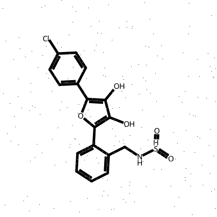 O=[SH](=O)NCc1ccccc1-c1oc(-c2ccc(Cl)cc2)c(O)c1O